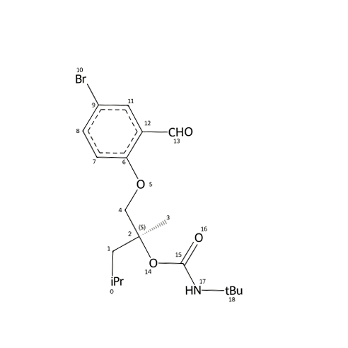 CC(C)C[C@@](C)(COc1ccc(Br)cc1C=O)OC(=O)NC(C)(C)C